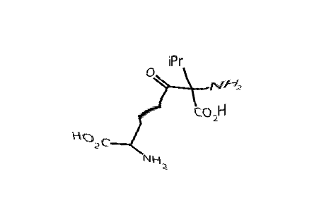 CC(C)C(N)(C(=O)O)C(=O)CCC(N)C(=O)O